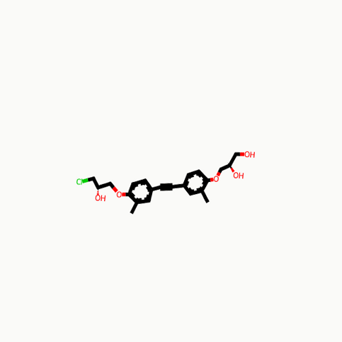 Cc1cc(C#Cc2ccc(OC[C@H](O)CCl)c(C)c2)ccc1OC[C@H](O)CO